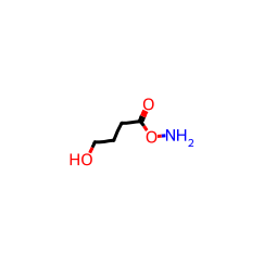 NOC(=O)CCCO